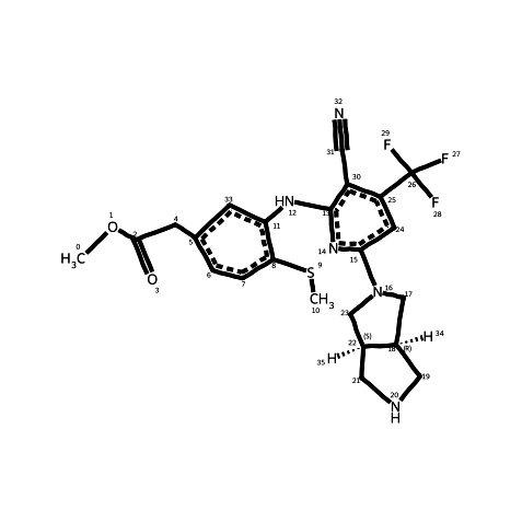 COC(=O)Cc1ccc(SC)c(Nc2nc(N3C[C@H]4CNC[C@H]4C3)cc(C(F)(F)F)c2C#N)c1